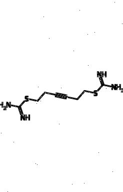 N=C(N)SCCC#CCCSC(=N)N